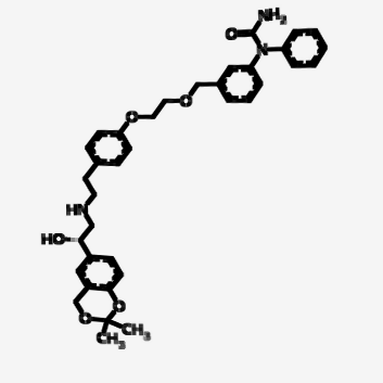 CC1(C)OCc2cc([C@H](O)CNCCc3ccc(OCCOCc4cccc(N(C(N)=O)c5ccccc5)c4)cc3)ccc2O1